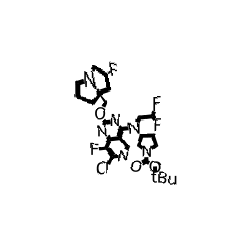 CC(C)(C)OC(=O)N1CC[C@@H](N(CC(F)F)c2nc(OC[C@@]34CCCN3C[C@H](F)C4)nc3c(F)c(Cl)ncc23)C1